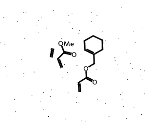 C=C.C=CC(=O)OC.C=CC(=O)OCC1=CCCCC1